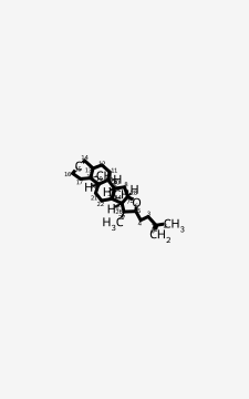 C=C(C)CCC1O[C@H]2C[C@H]3[C@@H]4CCC5CCCC[C@]5(C)[C@H]4CC[C@]3(C)[C@H]2[C@@H]1C